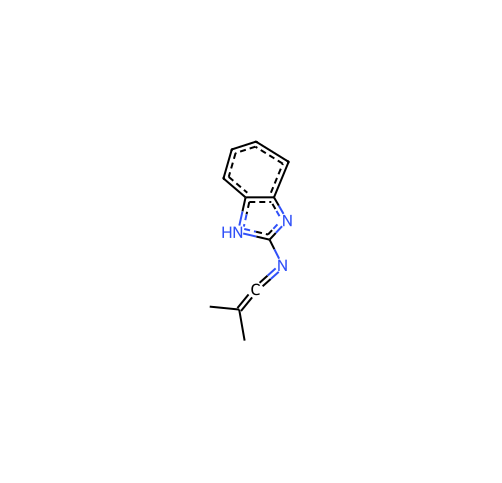 CC(C)=C=Nc1nc2ccccc2[nH]1